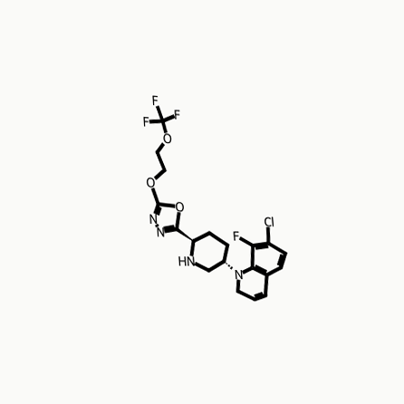 Fc1c(Cl)ccc2c1N([C@H]1CC[C@H](c3nnc(OCCOC(F)(F)F)o3)NC1)CC=C2